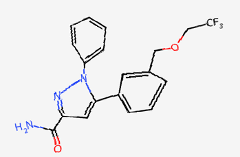 NC(=O)c1cc(-c2cccc(COCC(F)(F)F)c2)n(-c2ccccc2)n1